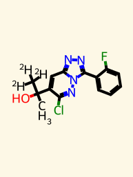 [2H]C([2H])([2H])C(C)(O)c1cc2nnc(-c3ccccc3F)n2nc1Cl